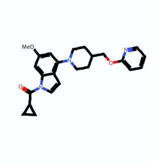 COc1cc(N2CCC(COc3ccccn3)CC2)c2ccn(C(=O)C3CC3)c2c1